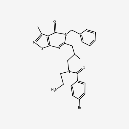 Cc1nsc2nc(CC(C)CN(CCN)C(=O)c3ccc(Br)cc3)n(Cc3ccccc3)c(=O)c12